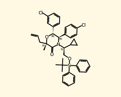 C=CC[C@]1(C)O[C@H](c2cccc(Cl)c2)[C@@H](c2ccc(Cl)cc2)N([C@H](CO[Si](c2ccccc2)(c2ccccc2)C(C)(C)C)C2CC2)C1=O